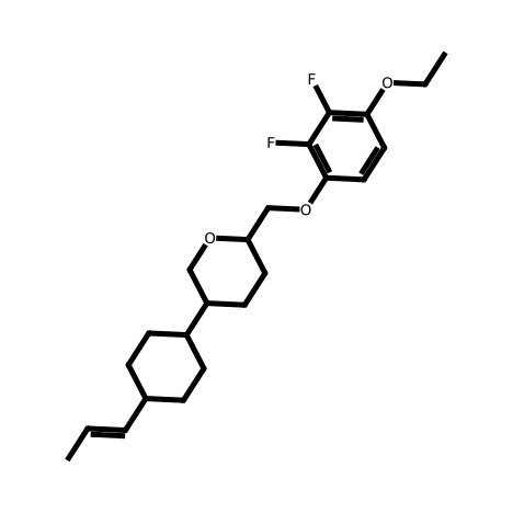 C/C=C/C1CCC(C2CCC(COc3ccc(OCC)c(F)c3F)OC2)CC1